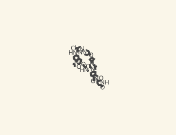 CNC(=O)COc1cc2cc(Nc3nc(N4CCC(OC5CC(N6CCN(c7ccc8c(c7)CN([C@@H]7CCC(=O)NC7=O)C8=O)C(C)(C)C6)C5)CC4)ncc3Cl)ccc2n(C(C)C)c1=O